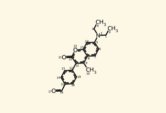 CCN(CC)c1ccc2c(C)c(-c3ccc(C=O)cc3)c(=O)oc2c1